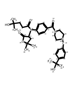 CC(C)(O)CCC(=O)N(c1ccc(C(=O)N2CCN(Cc3ccc(C(O)(C(F)(F)F)C(F)(F)F)cc3)CC2)cc1)C1CC(C)(C)OC1=O